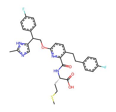 CSCC[C@H](NC(=O)c1nc(OCC(c2ccc(F)cc2)c2cnc(C)[nH]2)ccc1CCc1ccc(F)cc1)C(=O)O